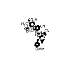 COc1ccc(CN(c2nc(Nc3cc(C#N)cc(N4CC[C@@H](N(C)C(=O)O)[C@H](OP(=O)(O)O)C4)c3Cl)nn3c(C#N)cnc23)C2CC2)cc1